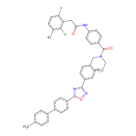 CCc1ccc(F)c(CC(=O)Nc2ccc(C(=O)N(CC(=O)O)Cc3ccc(-c4noc(-c5ccc(-c6ccc(C)cc6)cc5)n4)cc3)cc2)c1F